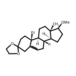 CC[C@]12CCC3(CC1=CC[C@@H]1[C@@H]2CC[C@]2(C)C(OC)CC[C@@H]12)OCCO3